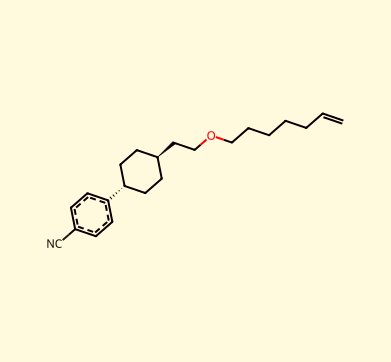 C=CCCCCCOCC[C@H]1CC[C@H](c2ccc(C#N)cc2)CC1